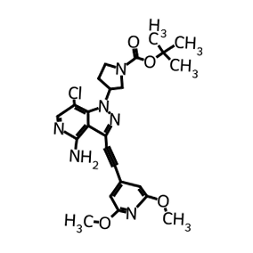 COc1cc(C#Cc2nn(C3CCN(C(=O)OC(C)(C)C)C3)c3c(Cl)cnc(N)c23)cc(OC)n1